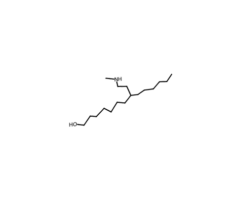 CCCCCCC(CCCCCCCO)CCNC